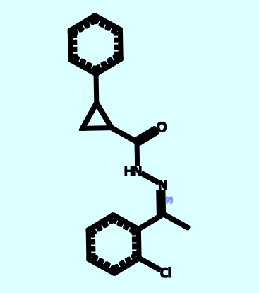 C/C(=N/NC(=O)C1CC1c1ccccc1)c1ccccc1Cl